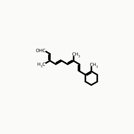 CC(C=CC=C(C)C=CC1=C(C)CCCC1)=CC=O